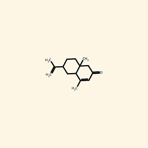 C=C(C)C1CCC2(C)CC(=O)C=C(C)C2C1